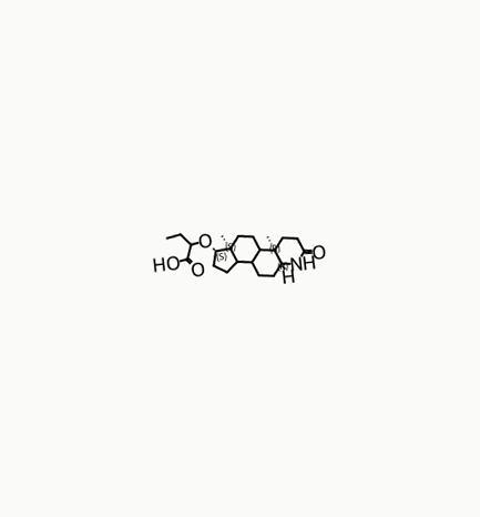 CCC(O[C@H]1CCC2C3CC[C@H]4NC(=O)CC[C@]4(C)C3CC[C@@]21C)C(=O)O